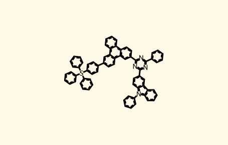 c1ccc(-c2nc(-c3ccc4c5ccccc5c5cc(-c6ccc(S(c7ccccc7)(c7ccccc7)c7ccccc7)cc6)ccc5c4c3)nc(-c3ccc4c(c3)c3ccccc3n4-c3ccccc3)n2)cc1